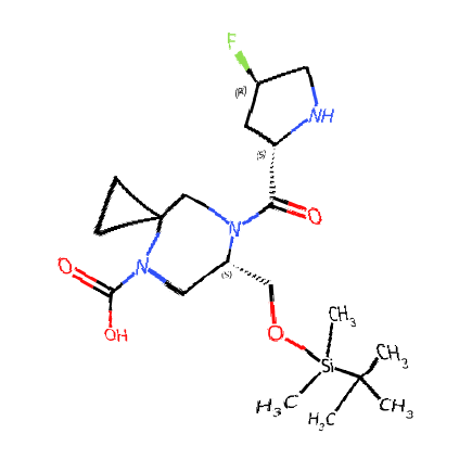 CC(C)(C)[Si](C)(C)OC[C@@H]1CN(C(=O)O)C2(CC2)CN1C(=O)[C@@H]1C[C@@H](F)CN1